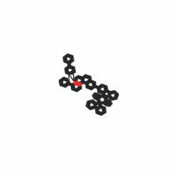 c1ccc(-c2ccc(N(c3ccc4c(ccc5cc(-c6ccc7c(c6)C6(c8ccccc8-7)c7ccccc7C(c7ccccc7)(c7ccccc7)c7ccccc76)ccc54)c3)c3ccccc3-c3ccccc3)cc2)cc1